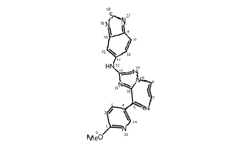 COc1ccc(-c2nccn3nc(Nc4ccc5nsnc5c4)nc23)cn1